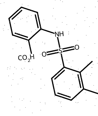 Cc1cccc(S(=O)(=O)Nc2ccccc2C(=O)O)c1C